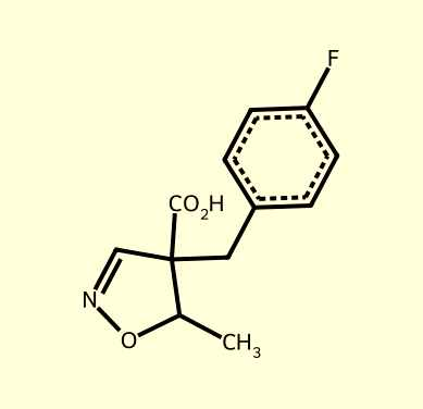 CC1ON=CC1(Cc1ccc(F)cc1)C(=O)O